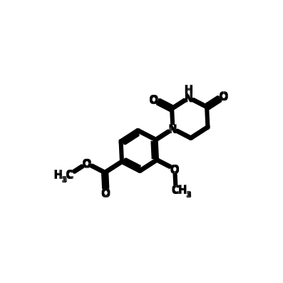 COC(=O)c1ccc(N2CCC(=O)NC2=O)c(OC)c1